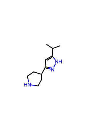 CC(C)c1cc(C2CCNCC2)n[nH]1